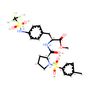 COC(=O)[C@H](Cc1ccc(NS(=O)(=O)C(F)(F)F)cc1)NC(=O)[C@@H]1CCCN1S(=O)(=O)c1ccc(C)cc1